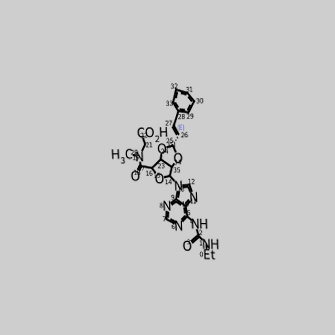 CCNC(=O)Nc1ncnc2c1ncn2C1OC(C(=O)N(C)CC(=O)O)C2O[C@H](/C=C/c3ccccc3)OC21